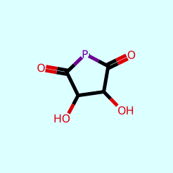 O=C1[P]C(=O)C(O)C1O